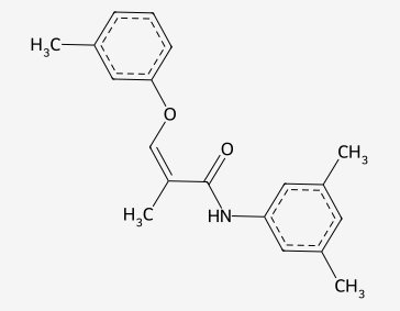 CC(=COc1cccc(C)c1)C(=O)Nc1cc(C)cc(C)c1